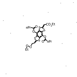 CCCC(=O)Oc1c2c(c(OC(=O)CCC)c3c1SC(=CC(=O)OCC)S3)SC(=CCOOCC)S2